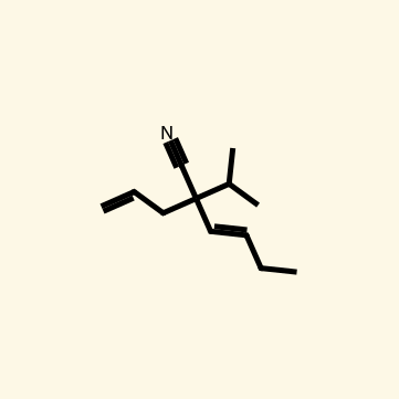 C=CCC(C#N)(C=CCC)C(C)C